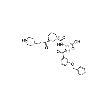 O=C(O)C[C@H](NC(=O)c1cccc(OCc2ccccc2)c1)NC(=O)[C@@H]1CCCN(C(=O)CCC2CCNCC2)C1